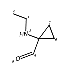 CCNC1(C=O)CC1